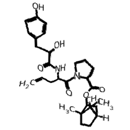 C=CCC(NC(=O)C(O)Cc1ccc(O)cc1)C(=O)N1CCCC1C(=O)OC1C[C@@H]2CCC1(C)C2(C)C